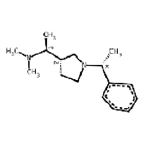 C[C@H](c1ccccc1)N1CC[C@H]([C@H](C)N(C)C)C1